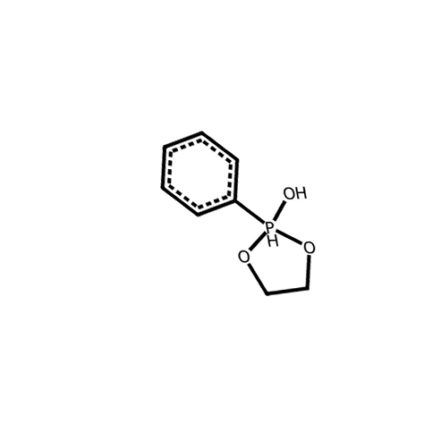 O[PH]1(c2ccccc2)OCCO1